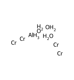 O.O.O.[AlH3].[Cr].[Cr].[Cr].[Cr]